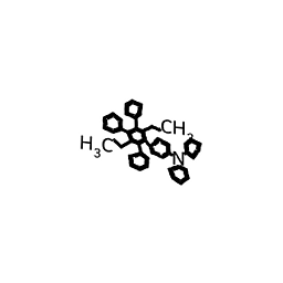 CCCc1c(-c2ccccc2)c(-c2ccccc2)c(CCC)c(-c2ccc(N(c3ccccc3)c3ccccc3)cc2)c1-c1ccccc1